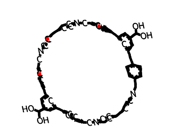 OC(O)c1cc2cc(c1)-c1ccc(cc1)CN1CCC(CC1)C1CCN(CC1)Cc1ccc(cc1)-c1cc(cc(C(O)O)c1)-c1ccc(cc1)CN1CCC(CC1)C1CCN(CC1)Cc1ccc-2cc1